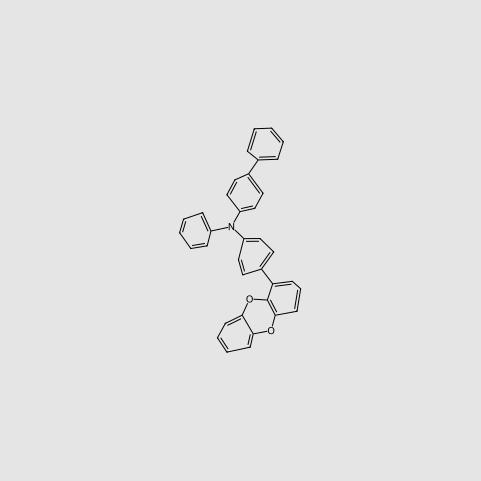 c1ccc(-c2ccc(N(c3ccccc3)c3ccc(-c4cccc5c4Oc4ccccc4O5)cc3)cc2)cc1